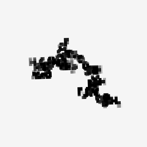 COC[C@H]1CN[C@H](C)CN1CC(=O)N1CC(C)(C)c2nc(CN3CCN(CCOCCOCC(=O)Nc4ccc(Nc5ncc(C(F)(F)F)c(NCc6cccc(S(C)(=O)=O)c6)n5)cc4)CC3)c(Cc3ccc(F)cc3)cc21